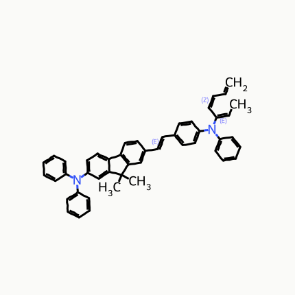 C=C/C=C\C(=C/C)N(c1ccccc1)c1ccc(/C=C/c2ccc3c(c2)C(C)(C)c2cc(N(c4ccccc4)c4ccccc4)ccc2-3)cc1